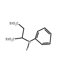 CCOC(=O)CC(C(=O)OCC)N(F)c1ccccc1